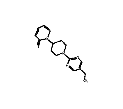 CCc1cnc(N2CCC(n3ncccc3=O)CC2)nc1